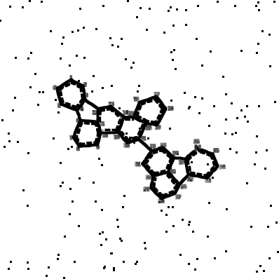 c1ccc2c(c1)-c1cccc3c1c-2cc1c2ccccc2c(-c2cc4c5c(cccc5c2)-c2cccnc2-4)cc31